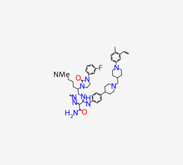 C=Cc1cc(N2CCC(CN3CCC(c4ccc(NC(=N/CC(CCCNC)N5CCN(c6cccc(F)c6)C5=O)/C(=N\N=C)C(N)=O)cc4)CC3)CC2)ccc1C